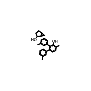 Cc1cccc(-c2ccc(C)c(O)c2-c2cccc(C)c2)c1.OC1CCC2CC12